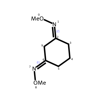 CO/N=C1/CCC/C(=N\OC)C1